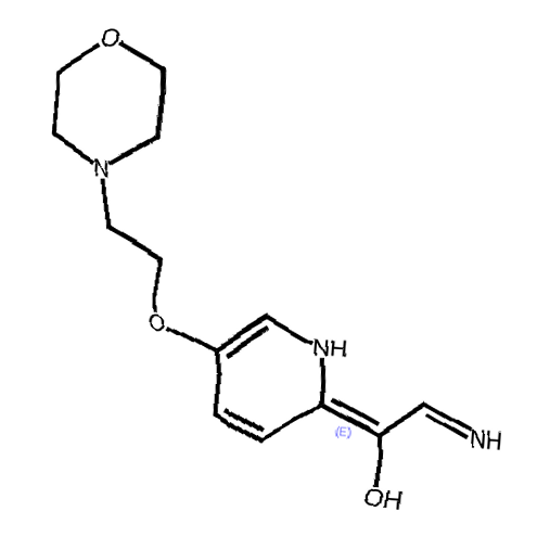 N=C/C(O)=C1/C=CC(OCCN2CCOCC2)=CN1